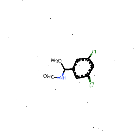 COC(NC=O)c1cc(Cl)cc(Cl)c1